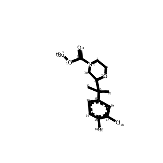 CC(C)(C)OC(=O)N1CCOC(C(C)(C)c2ccc(Br)c(Cl)c2)C1